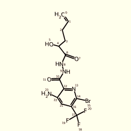 C=CCCC(O)C(=O)NNC(=O)c1nc(Br)c(C(F)(F)F)cc1N